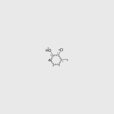 Cc1ccnc(O)c1Cl